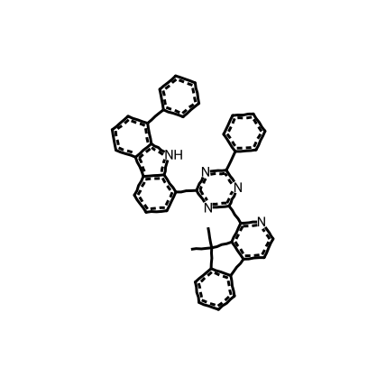 CC1(C)c2ccccc2-c2ccnc(-c3nc(-c4ccccc4)nc(-c4cccc5c4[nH]c4c(-c6ccccc6)cccc45)n3)c21